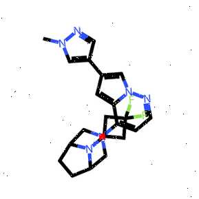 Cn1cc(-c2cc3c(N4CC5CCC(C4)N5C4CC(F)(F)C4)ccnn3c2)cn1